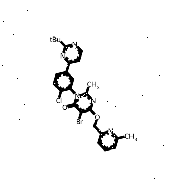 Cc1cccc(COc2nc(C)n(-c3cc(-c4ccnc(C(C)(C)C)n4)ccc3Cl)c(=O)c2Br)n1